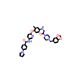 Cc1cc(N(C)CC(=O)N2CCN(Cc3ccc4c(c3)OCO4)CC2)ccc1Oc1ccc(NC(=O)c2ccc(-n3cccc3)cc2)cn1